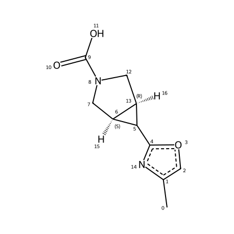 Cc1coc(C2[C@H]3CN(C(=O)O)C[C@@H]23)n1